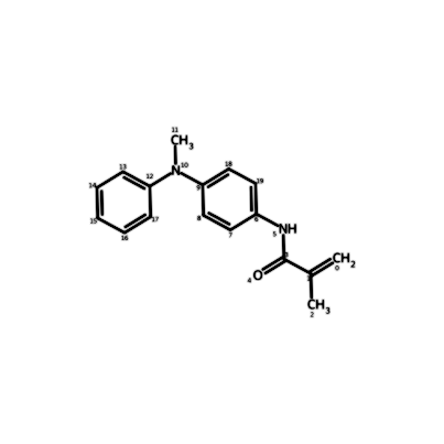 C=C(C)C(=O)Nc1ccc(N(C)c2ccccc2)cc1